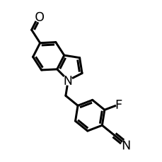 N#Cc1ccc(Cn2ccc3cc(C=O)ccc32)cc1F